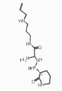 CCCNCCCNC(=O)C(N)N[PH](=O)[C@H]1CCCNC1=O